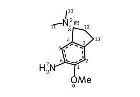 COc1cc2c(cc1N)[C@H](N(C)C)CC2